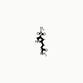 CS(=O)(=O)c1c[nH]c([CH]CC(N)=O)c1